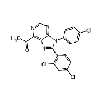 CC(=O)c1ncnc2c1nc(-c1ccc(Cl)cc1Cl)n2-c1ccc(Cl)cc1